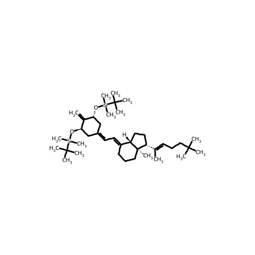 C=C1[C@H](O[Si](C)(C)C(C)(C)C)CC(=C/C=C2\CCC[C@]3(C)[C@@H](/C(C)=C/CCC(C)(C)C)CC[C@@H]23)C[C@H]1O[Si](C)(C)C(C)(C)C